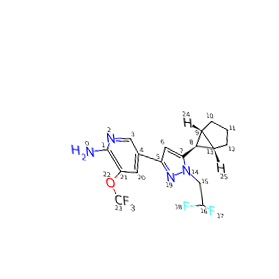 Nc1ncc(-c2cc([C@H]3[C@@H]4CCC[C@@H]43)n(CC(F)F)n2)cc1OC(F)(F)F